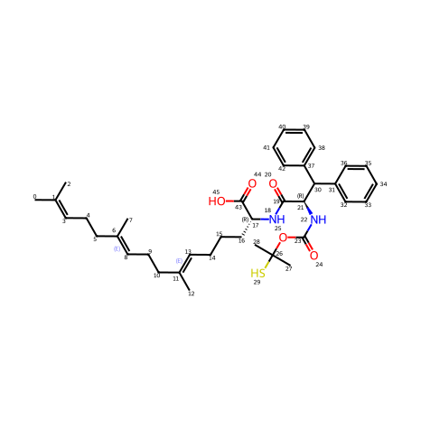 CC(C)=CCC/C(C)=C/CC/C(C)=C/CCC[C@@H](NC(=O)[C@H](NC(=O)OC(C)(C)S)C(c1ccccc1)c1ccccc1)C(=O)O